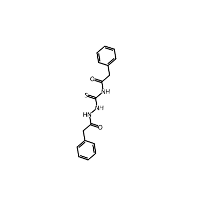 O=C(Cc1ccccc1)NNC(=S)NC(=O)Cc1ccccc1